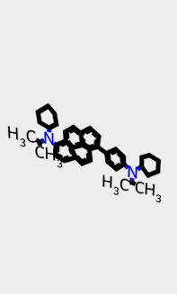 CC(C)N(c1ccc(-c2ccc3ccc4c(N(C(C)C)C5CCCCC5)ccc5ccc2c3c54)cc1)C1CCCCC1